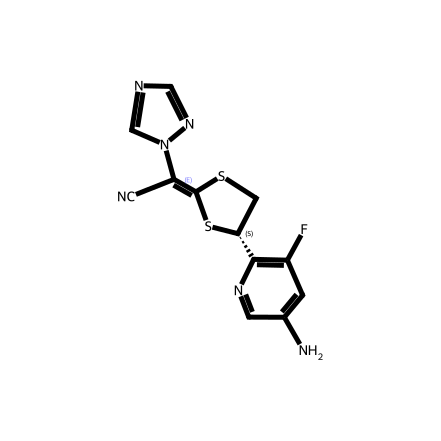 N#C/C(=C1/SC[C@H](c2ncc(N)cc2F)S1)n1cncn1